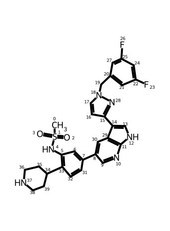 CS(=O)(=O)Nc1cc(-c2cnc3[nH]cc(-c4ccn(Cc5cc(F)cc(F)c5)n4)c3c2)ccc1C1CCNCC1